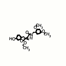 CCOC(=O)[C@@]1(Cc2ccc(O)cc2)CC1C(=O)NCc1ccc(OC)cc1OC